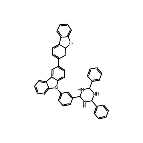 C1=C(c2ccc3c(c2)c2ccccc2n3-c2cccc(C3NC(c4ccccc4)NC(c4ccccc4)N3)c2)CC2Oc3ccccc3C2=C1